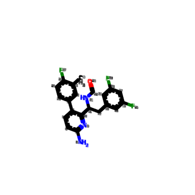 Cc1cc(-c2ccc(N)nc2C(Cc2cc(F)cc(F)c2)NC=O)ccc1F